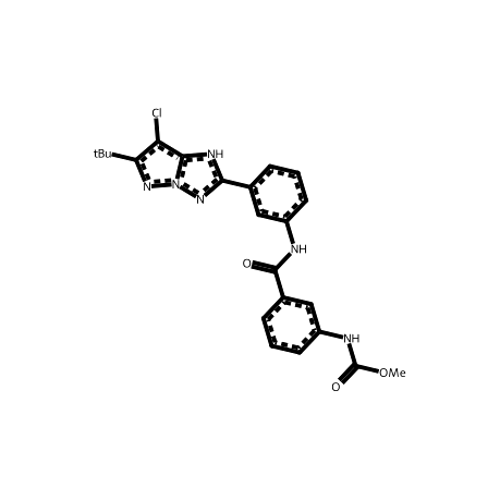 COC(=O)Nc1cccc(C(=O)Nc2cccc(-c3nn4nc(C(C)(C)C)c(Cl)c4[nH]3)c2)c1